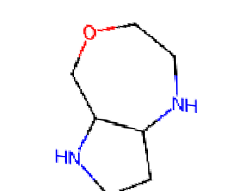 C1COCC2NCCC2N1